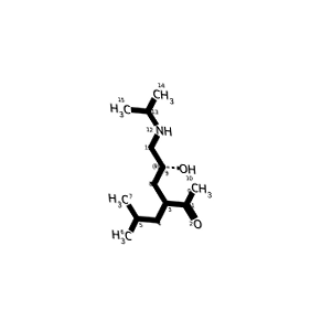 CC(=O)C(CC(C)C)C[C@@H](O)CNC(C)C